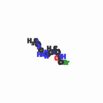 Cc1ccc(NC(=O)c2cccc(Br)c2)cc1N1CCc2nc(Nc3ccc(N4CCN(C)CC4)cc3)ncc2C1